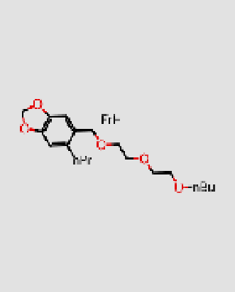 CCCCOCCOCCOCc1cc2c(cc1CCC)OCO2.[FrH]